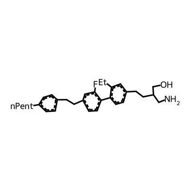 CCCCCc1ccc(CCc2ccc(-c3ccc(CCC(CN)CO)cc3CC)c(F)c2)cc1